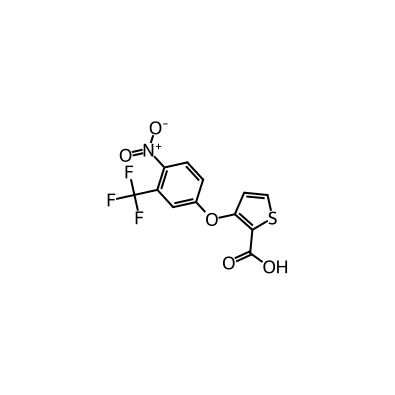 O=C(O)c1sccc1Oc1ccc([N+](=O)[O-])c(C(F)(F)F)c1